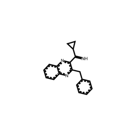 N=C(c1nc2ccccc2nc1Cc1ccccc1)C1CC1